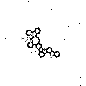 C=C1C2C(CCc3cc4c(cc3-c3cccc[n+]31)c1cccc3c5c6sc7ccccc7c6ccc5n4c13)c1ccccc1-c1cccc[n+]12